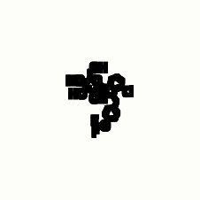 OC[C@H]1O[C@@H](n2cc(Cc3ccc(OC(F)F)cc3)c3c(Cl)cccc32)[C@H](O)[C@@H](O)[C@@H]1O